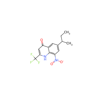 CCC(C)c1cc([N+](=O)[O-])c2[nH]c(C(F)(F)F)cc(=O)c2c1